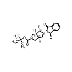 CC(C)(C)OC(=O)N1C[C@@H]2C[C@@H](N3C(=O)c4ccccc4C3=O)[C@@H](F)[C@@H]2C1